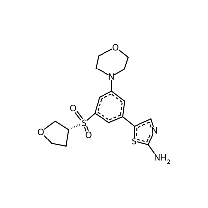 Nc1ncc(-c2cc(N3CCOCC3)cc(S(=O)(=O)[C@@H]3CCOC3)c2)s1